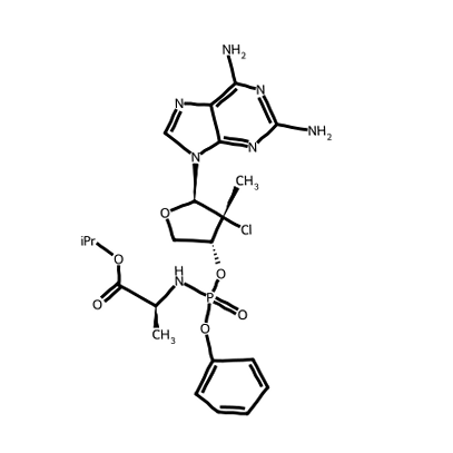 CC(C)OC(=O)[C@H](C)NP(=O)(Oc1ccccc1)O[C@@H]1CO[C@@H](n2cnc3c(N)nc(N)nc32)[C@]1(C)Cl